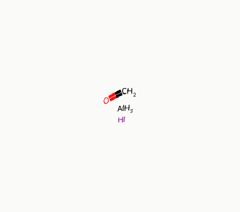 C=O.I.[AlH3]